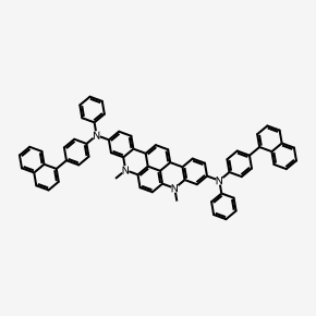 CN1c2cc(N(c3ccccc3)c3ccc(-c4cccc5ccccc45)cc3)ccc2-c2ccc3c4c(ccc1c24)N(C)c1cc(N(c2ccccc2)c2ccc(-c4cccc5ccccc45)cc2)ccc1-3